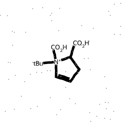 CC(C)(C)[N+]1(C(=O)O)C=CCC1C(=O)O